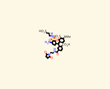 CNc1ccc2c(-c3cc(C(=O)NCCN4C(=O)C=CC4=O)ccc3C(=O)O)c3ccc(N)c(S(=O)(=O)NCCCS(=O)(=O)O)c3[o+]c2c1S(=O)(=O)O